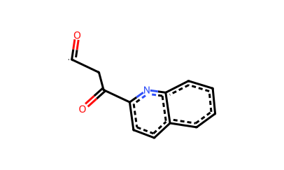 O=[C]CC(=O)c1ccc2ccccc2n1